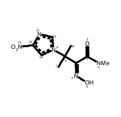 CNC(=O)C(=NO)C(C)(C)n1cnc([N+](=O)[O-])c1